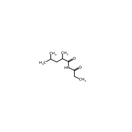 CCC(=O)NC(=O)C(C)CC(C)C